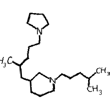 CC(C)CCCN1CCCC(CC(C)CCCN2CCCC2)C1